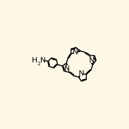 Nc1ccc(C2=CC3=CC4=NC(=CC5=NC(=CC6=NC(=CC2=N3)C=C6)C=C5)C=C4)cc1